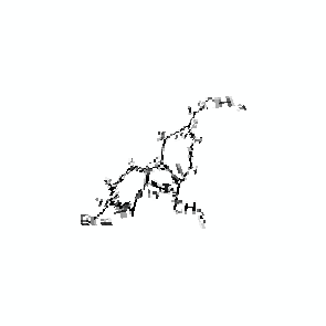 CC[C@H]1CCc2c(c3ccc(Br)nc3n2C)C1